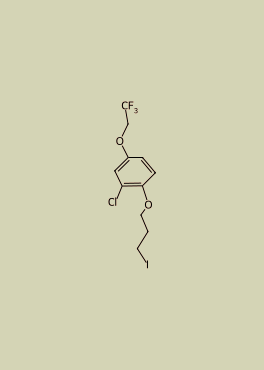 FC(F)(F)COc1ccc(OCCCI)c(Cl)c1